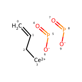 C=C[CH2][Ce+2].O=P[O-].O=P[O-]